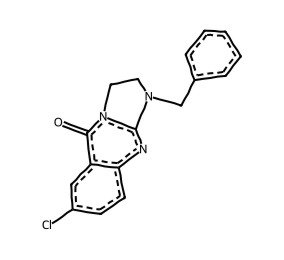 O=c1c2cc(Cl)ccc2nc2n1CCN2Cc1ccccc1